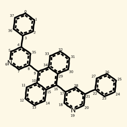 c1ccc(-c2cncc(-c3c4ccccc4c(-c4cncc(-c5ccccc5)c4)c4ccccc34)c2)cc1